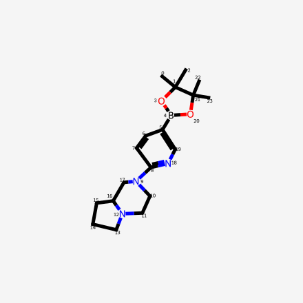 CC1(C)OB(c2ccc(N3CCN4CCCC4C3)nc2)OC1(C)C